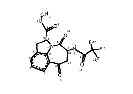 COC(=O)[C@@H]1Cc2cccc3c2N1C(=O)[C@@H](NC(=O)C(F)(F)F)CC3=O